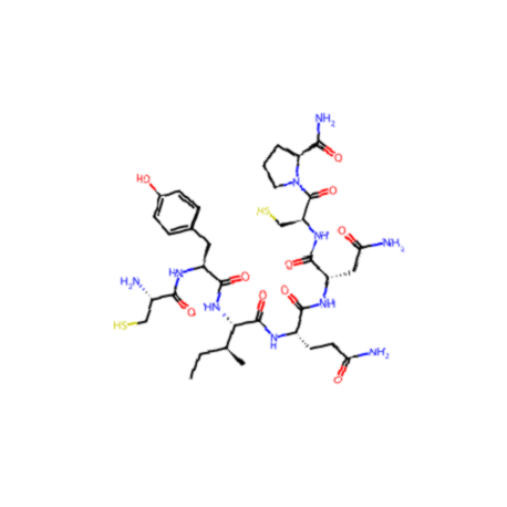 CC[C@H](C)[C@H](NC(=O)[C@H](Cc1ccc(O)cc1)NC(=O)[C@@H](N)CS)C(=O)N[C@@H](CCC(N)=O)C(=O)N[C@@H](CC(N)=O)C(=O)N[C@@H](CS)C(=O)N1CCC[C@H]1C(N)=O